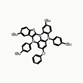 CC(C)(C)c1ccc(N2c3ccc(C(C)(C)C)cc3B3c4sc5ccc(C(C)(C)C)cc5c4N(c4ccc(C(C)(C)C)cc4)c4cc(Oc5ccccc5)cc2c43)cc1